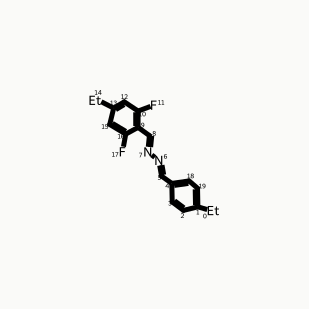 CCc1ccc(/C=N/N=C/c2c(F)cc(CC)cc2F)cc1